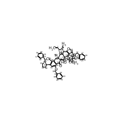 C=CCN(C)[C@@H]1c2onc(OCc3ccccc3)c2C(=O)[C@@]2(O[Si](C)(C)C(C)(C)C)C(O)=C3C(=O)c4c(OCc5ccccc5)cc(C5CCCN5Cc5ccccc5)c(Cl)c4C[C@H]3C[C@@H]12